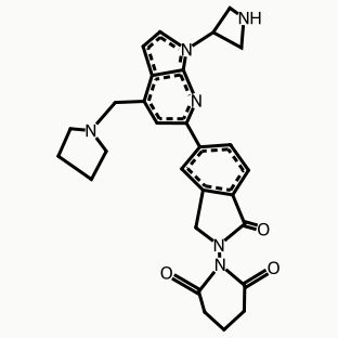 O=C1c2ccc(-c3cc(CN4CCCC4)c4ccn(C5CNC5)c4n3)cc2CN1N1C(=O)CCCC1=O